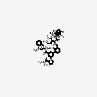 COc1c(CN2O[C@@H](CO)[C@@H]([C@H](C)O)[C@H]2C(=O)N[C@H]2C[C@H]3C[C@@H]([C@@H]2C)C3(C)C)cccc1-c1cc(C(=O)N[C@@H](Cc2ccccc2)CN(C)C)cc(N2CCCC2C(=O)N(C)C)c1